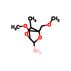 BC1OC2(COC)C(C)OC1C2OC